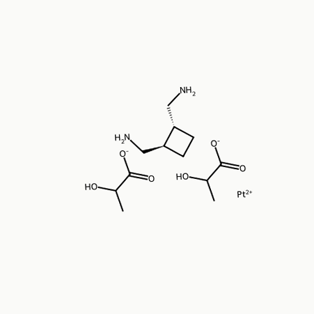 CC(O)C(=O)[O-].CC(O)C(=O)[O-].NC[C@@H]1CC[C@H]1CN.[Pt+2]